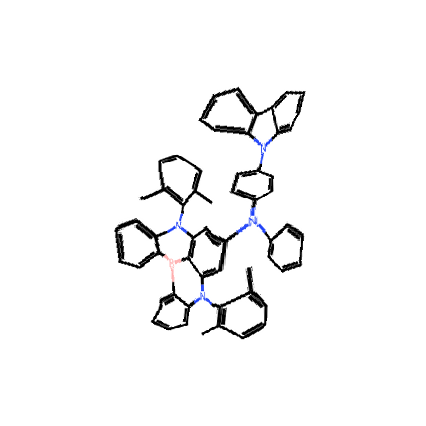 Cc1cccc(C)c1N1c2ccccc2B2c3ccccc3N(c3c(C)cccc3C)c3cc(N(c4ccccc4)c4ccc(-n5c6ccccc6c6ccccc65)cc4)cc1c32